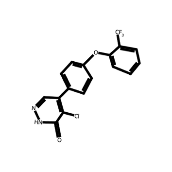 O=c1[nH]ncc(-c2ccc(Oc3ccccc3C(F)(F)F)cc2)c1Cl